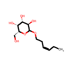 CC/C=C\CCOC1O[C@H](CO)[C@H](O)[C@H](O)[C@H]1O